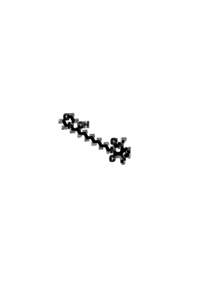 Cn1cnc2c1c(=O)n(CCCCCCCCCC(O)CN1CCOCC1)c(=O)n2C